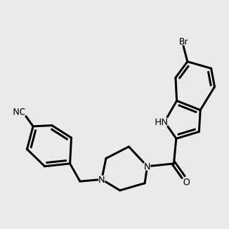 N#Cc1ccc(CN2CCN(C(=O)c3cc4ccc(Br)cc4[nH]3)CC2)cc1